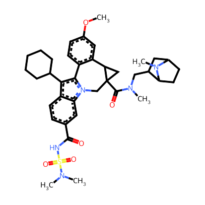 COc1ccc2c(c1)C1CC1(C(=O)N(C)CC1CC3CCC1N3C)Cn1c-2c(C2CCCCC2)c2ccc(C(=O)NS(=O)(=O)N(C)C)cc21